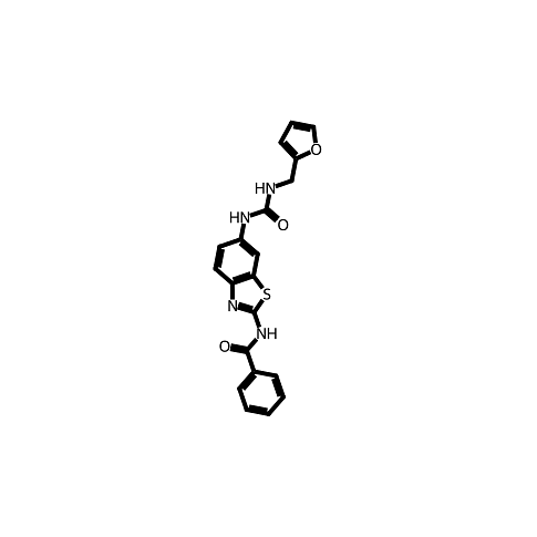 O=C(NCc1ccco1)Nc1ccc2nc(NC(=O)c3ccccc3)sc2c1